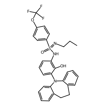 CCCN=S(=O)(Nc1cccc(N2c3ccccc3CCc3ccccc32)c1O)c1ccc(OC(F)(F)F)cc1